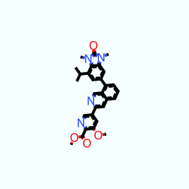 COC(=O)c1ncc(-c2cc3cccc(-c4cc(C(C)C)c5c(c4)n(C)c(=O)n5C)c3cn2)cc1OC